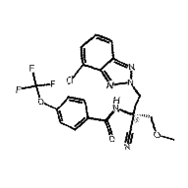 COC[C@@](C#N)(Cn1nc2cccc(Cl)c2n1)NC(=O)c1ccc(OC(F)(F)F)cc1